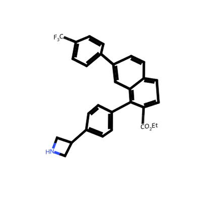 CCOC(=O)c1ccc2ccc(-c3ccc(C(F)(F)F)cc3)cc2c1-c1ccc(C2CNC2)cc1